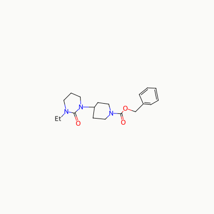 CCN1CCCN(C2CCN(C(=O)OCc3ccccc3)CC2)C1=O